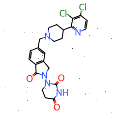 O=C1CCN(N2Cc3cc(CN4CCC(c5nccc(Cl)c5Cl)CC4)ccc3C2=O)C(=O)N1